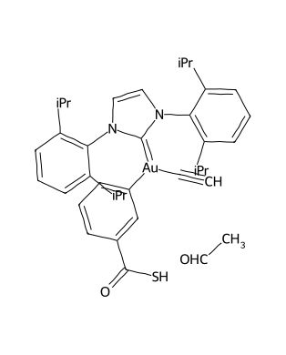 C#[C][Au]([c]1cccc(C(=O)S)c1)=[c]1n(-c2c(C(C)C)cccc2C(C)C)ccn1-c1c(C(C)C)cccc1C(C)C.CC=O